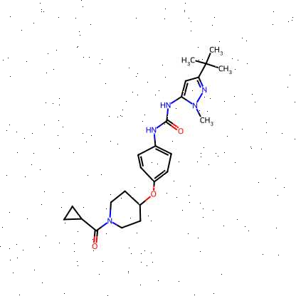 Cn1nc(C(C)(C)C)cc1NC(=O)Nc1ccc(OC2CCN(C(=O)C3CC3)CC2)cc1